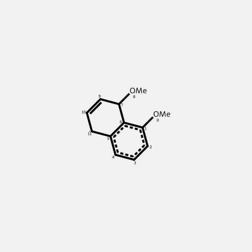 COc1cccc2c1C(OC)C=C[CH]2